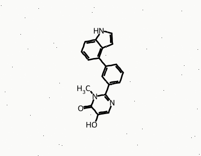 Cn1c(-c2cccc(-c3cccc4[nH]ccc34)c2)ncc(O)c1=O